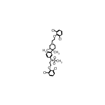 C[C@H]1CN(CCOc2c(Cl)cccc2Cl)CC[C@]1(C)c1cccc(N(CCOc2c(Cl)cccc2Cl)S(C)(=O)=O)c1